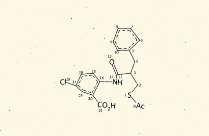 CC(=O)SCC(Cc1ccccc1)C(=O)Nc1ccc(Cl)cc1C(=O)O